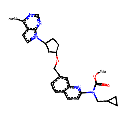 CNc1ncnc2c1ccn2C1CCC(OCc2ccc3ccc(N(CC4CC4)C(=O)OC(C)(C)C)nc3c2)C1